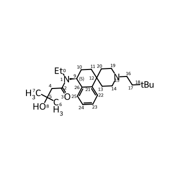 CCN(C(=O)CC(C)(C)O)[C@H]1CCC2(CCN(CCC(C)(C)C)CC2)c2ccccc21